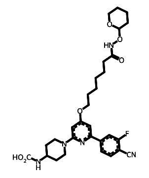 N#Cc1ccc(-c2cc(OCCCCCCC(=O)NOC3CCCCO3)cc(N3CCC(NC(=O)O)CC3)n2)cc1F